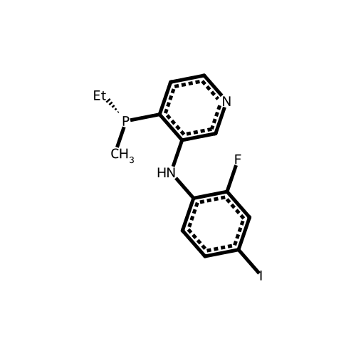 CC[P@@](C)c1ccncc1Nc1ccc(I)cc1F